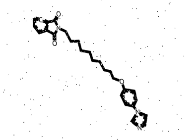 O=C1c2ccccc2C(=O)N1CCCCCCCCCCOc1ccc(-n2ccnc2)cc1